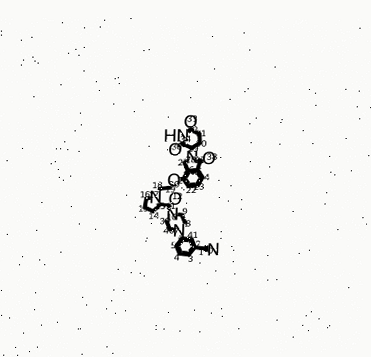 N#Cc1cccc(N2CCN(C(=O)C3CCCN3CCOc3cccc4c3CN(C3CCC(=O)NC3=O)C4=O)CC2)c1